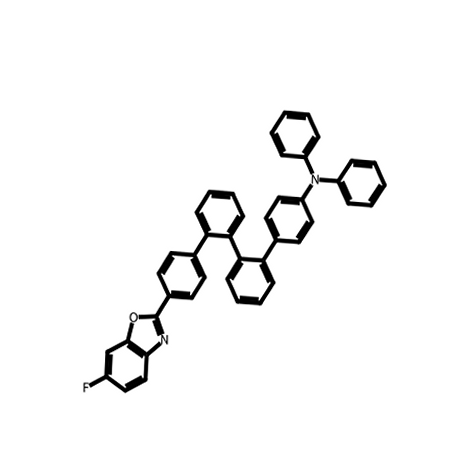 Fc1ccc2nc(-c3ccc(-c4ccccc4-c4ccccc4-c4ccc(N(c5ccccc5)c5ccccc5)cc4)cc3)oc2c1